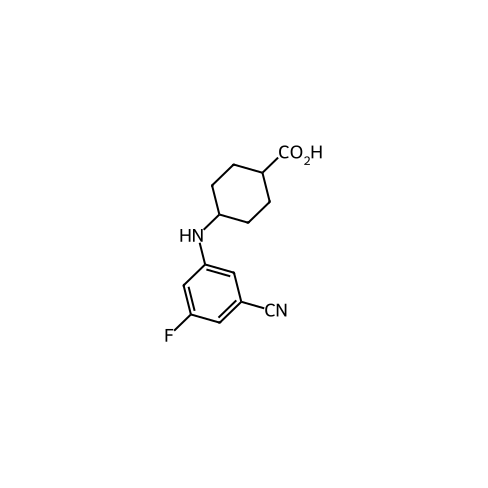 N#Cc1cc(F)cc(NC2CCC(C(=O)O)CC2)c1